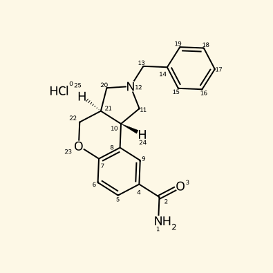 Cl.NC(=O)c1ccc2c(c1)[C@H]1CN(Cc3ccccc3)C[C@@H]1CO2